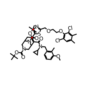 COc1cccc(CN(C(=O)C2=C(c3cnc(COCCOc4c(Cl)cc(C)c(C)c4Cl)s3)CC3CN(C(=O)OC(C)(C)C)CC2N3C(=O)OC(C)(C)C)C2CC2)c1C